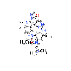 C=CC(=O)Nc1cc(Nc2ncc(-c3nnco3)c(-c3cn4c5c(cccc35)CCC4)n2)c(C)cc1N(C)CCN(C)C